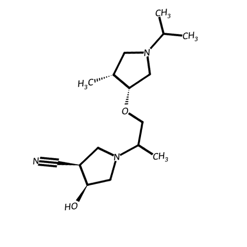 CC(C)N1C[C@@H](C)[C@@H](OCC(C)N2C[C@@H](O)[C@@H](C#N)C2)C1